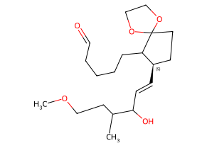 COCCC(C)C(O)C=C[C@@H]1CCC2(OCCO2)C1CCCCC=O